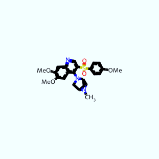 COc1ccc(S(=O)(=O)c2cnc3cc(OC)c(OC)cc3c2N2CC3CC2CN3C)cc1